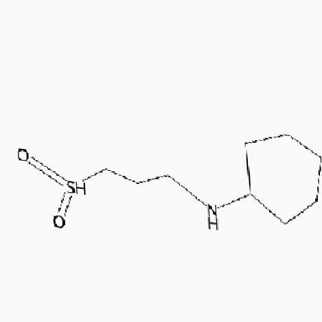 O=[SH](=O)CCCNC1CCCCC1